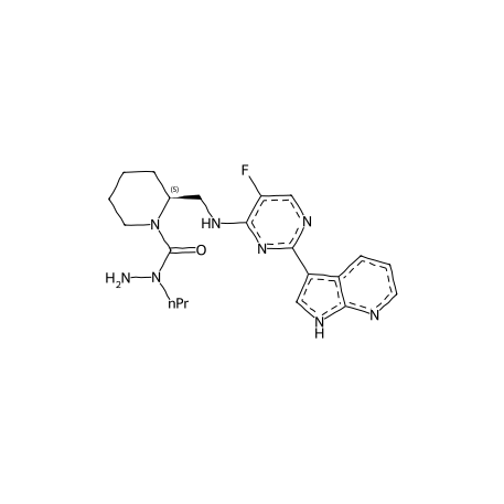 CCCN(N)C(=O)N1CCCC[C@H]1CNc1nc(-c2c[nH]c3ncccc23)ncc1F